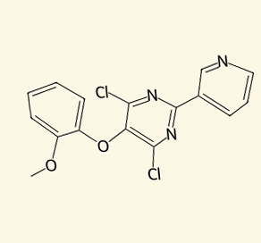 COc1ccccc1Oc1c(Cl)nc(-c2cccnc2)nc1Cl